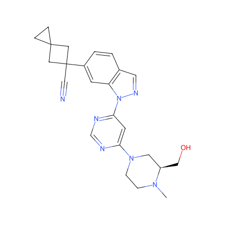 CN1CCN(c2cc(-n3ncc4ccc(C5(C#N)CC6(CC6)C5)cc43)ncn2)C[C@H]1CO